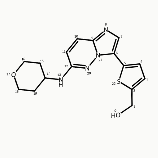 OCc1ccc(-c2cnc3ccc(NC4CCOCC4)nn23)s1